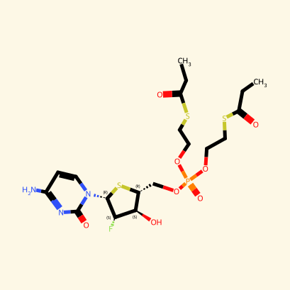 CCC(=O)SCCOP(=O)(OCCSC(=O)CC)OC[C@H]1S[C@@H](n2ccc(N)nc2=O)[C@@H](F)[C@@H]1O